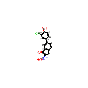 O=C1/C(=N\O)Cc2ccc(-c3ccc(O)c(Cl)c3)cc21